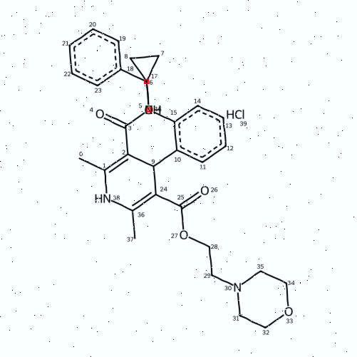 CC1=C(C(=O)NC2CC2)C(c2ccccc2OCc2ccccc2)C(C(=O)OCCN2CCOCC2)=C(C)N1.Cl